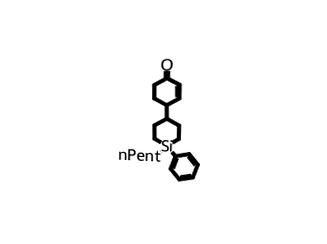 CCCCC[Si]1(c2ccccc2)CCC(C2C=CC(=O)CC2)CC1